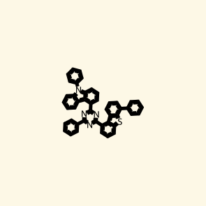 c1ccc(-c2nc(-c3cccc4sc5c(-c6ccccc6)cccc5c34)nc(-c3cccc4c3c3ccccc3n4-c3ccccc3)n2)cc1